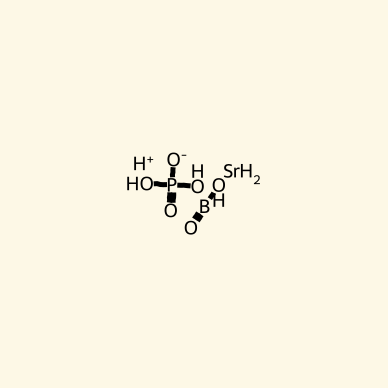 O=BO.O=P([O-])(O)O.[H+].[SrH2]